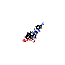 N#Cc1ccc2nc(NC3CCN(C(=O)O)C3C3[C@@H]4CC5C[C@H]3CC(O)(C5)C4)cnc2c1